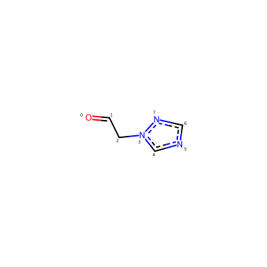 O=CCn1cncn1